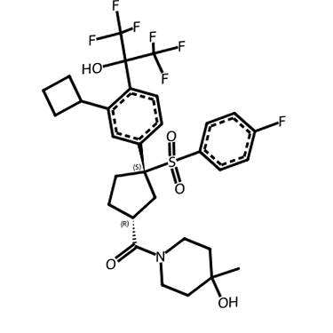 CC1(O)CCN(C(=O)[C@@H]2CC[C@](c3ccc(C(O)(C(F)(F)F)C(F)(F)F)c(C4CCC4)c3)(S(=O)(=O)c3ccc(F)cc3)C2)CC1